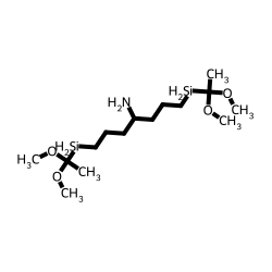 COC(C)(OC)[SiH2]CCCC(N)CCC[SiH2]C(C)(OC)OC